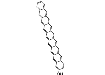 Oc1ccc2cc3cc4cc5cc6cc7cc8cc9ccccc9cc8cc7cc6cc5cc4cc3cc2c1